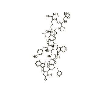 CC(O)CC(NC(=O)C(Cc1c[nH]c2ccccc12)NC(=O)C(Cc1ccc(O)cc1)NC(=O)C(CO)NC(=O)C(Cc1c[nH]c2ccccc12)NC(=O)C(CC(=O)C1CCC(=O)N1)CC1=CN=CC1)C(=O)NC(CCCNC(=N)N)C(=O)CN1CCCC1C(=O)NCC(N)=O